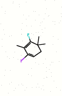 CC1=C(F)C(C)(C)CC=C1I